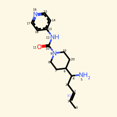 C/C=C/CC(N)C1CCN(C(=O)Nc2ccncc2)CC1